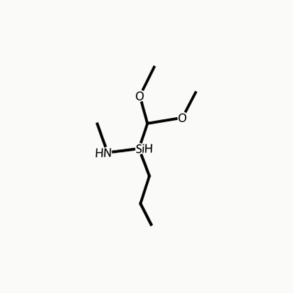 CCC[SiH](NC)C(OC)OC